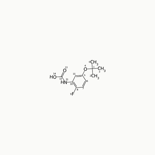 CC(C)(C)Oc1ccc(F)c(NC(=O)O)c1